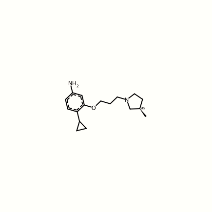 C[C@@H]1CCN(CCCOc2cc(N)ccc2C2CC2)C1